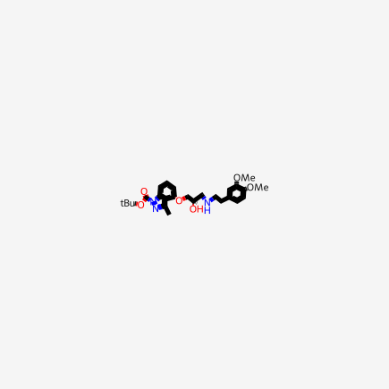 COc1ccc(CCNC[C@H](O)COc2cccc3c2c(C)nn3C(=O)OC(C)(C)C)cc1OC